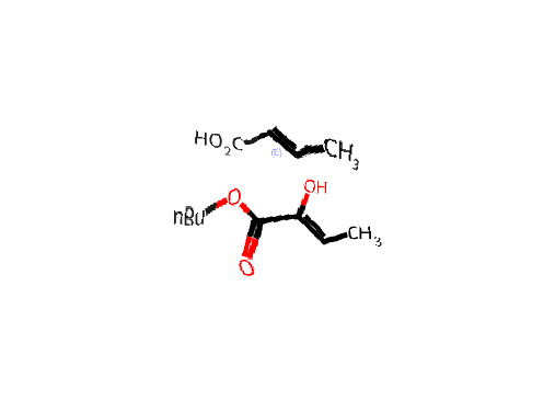 C/C=C/C(=O)O.CC=C(O)C(=O)OCCCC